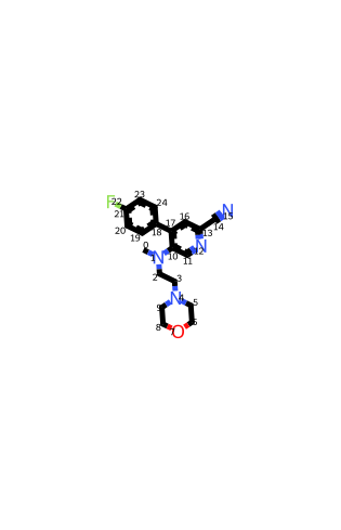 CN(CCN1CCOCC1)c1cnc(C#N)cc1-c1ccc(F)cc1